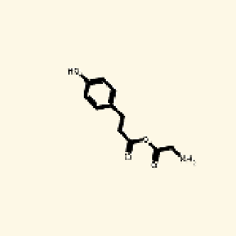 NCC(=O)OC(=O)CCc1ccc(O)cc1